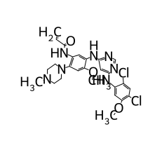 C=CC(=O)Nc1cc(Nc2cc(Nc3cc(OC)c(Cl)cc3Cl)ncn2)c(OC)cc1N1CCN(C)CC1